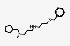 CN(CCCNCCCSCc1ccccc1)CC1CCCC1